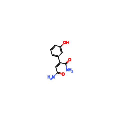 NC(=O)C=C(C(N)=O)c1cccc(O)c1